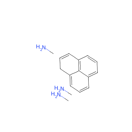 C1=Cc2cccc3cccc(c23)C1.CN.CN.CN